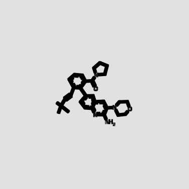 CC(C)(C)C#Cc1cccc(C(=O)N2CCCC2)c1-c1ccc2nc(N)c(N3CCOCC3)cc2c1